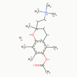 CC(=O)Oc1c(C)c(C)c2c(c1C)CCC(C)(CC[N+](C)(C)C)O2.[Br-]